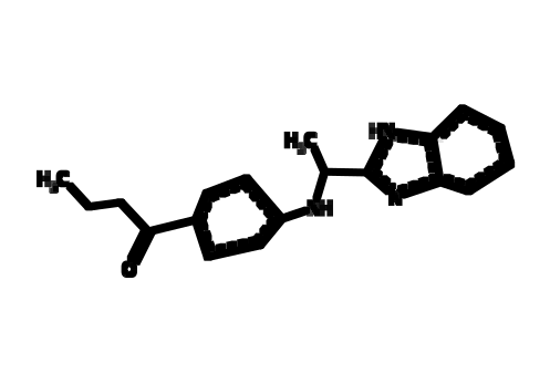 CCCC(=O)c1ccc(NC(C)c2nc3ccccc3[nH]2)cc1